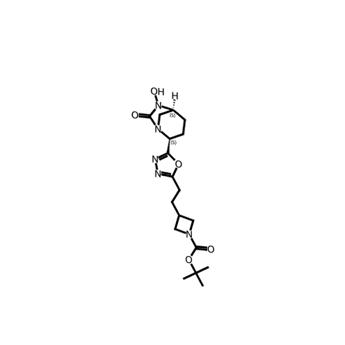 CC(C)(C)OC(=O)N1CC(CCc2nnc([C@@H]3CC[C@H]4CN3C(=O)N4O)o2)C1